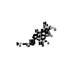 Cc1c(SNC(=O)c2ccc(-n3ccc(OCCC(F)(F)F)n3)nc2N2CC(C)CC2(C)C)cnn1C